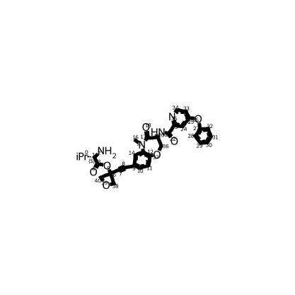 CC(C)[C@H](N)C(=O)OC1(C#Cc2ccc3c(c2)N(C)C(=O)[C@H](NC(=O)c2cc(Oc4ccccc4)ccn2)CO3)COC1